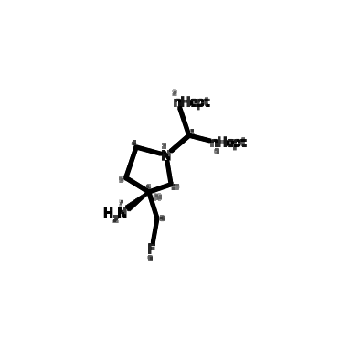 CCCCCCCC(CCCCCCC)N1CC[C@@](N)(CF)C1